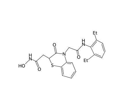 CCc1cccc(CC)c1NC(=O)CN1C(=O)C(CC(=O)NO)Sc2ccccc21